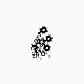 COc1nc(OC)c2occ([C@@H]3O[C@H](COCc4ccccc4)[C@@H](OCc4ccccc4)[C@H]3OCc3ccccc3)c2n1